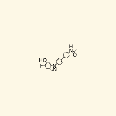 CC(=O)Nc1ccc(-c2ccc(-n3ncc4cc(F)c(O)cc43)cc2)cc1